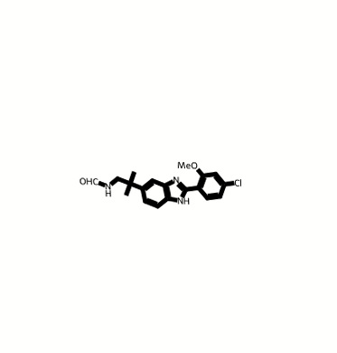 COc1cc(Cl)ccc1-c1nc2cc(C(C)(C)CNC=O)ccc2[nH]1